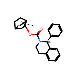 O=C(O[C@H]1CC2CCC1CC2)N1CCc2ccccc2[C@@H]1c1ccccc1